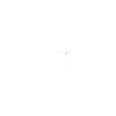 NC1C2CCOCCC1c1cc(O)ccc1C2